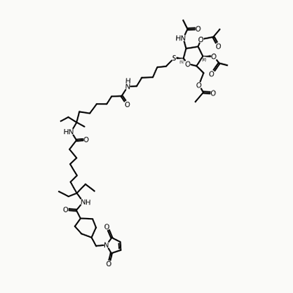 CCC(C)(CCCCCC(=O)NCCCCCS[C@@H]1OC(COC(C)=O)[C@H](OC(C)=O)C(OC(C)=O)C1NC(C)=O)NC(=O)CCCCCC(CC)(CC)NC(=O)C1CCC(CN2C(=O)C=CC2=O)CC1